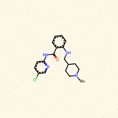 CCC(C)N1CCC(CNc2ccccc2C(=O)Nc2ccc(Cl)cn2)CC1